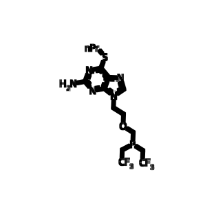 CCCSc1nc(N)nc2c1ncn2CCOCP(CC(F)(F)F)CC(F)(F)F